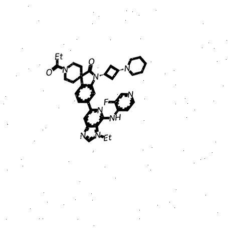 CCC(=O)N1CCC2(CC1)C(=O)N([C@H]1C[C@@H](N3CCCCC3)C1)c1cc(-c3cc4ncn(CC)c4c(Nc4ccncc4F)n3)ccc12